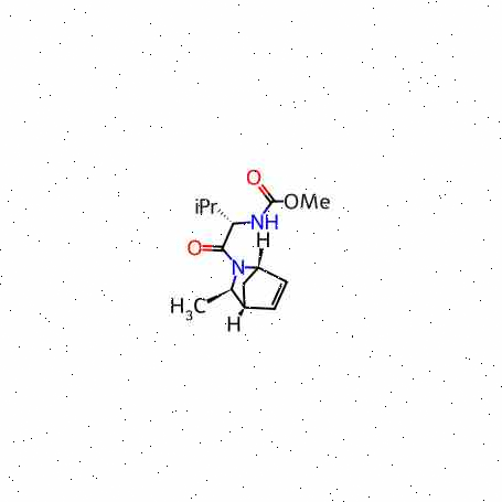 COC(=O)N[C@H](C(=O)N1[C@@H]2C=C[C@@H](C2)[C@H]1C)C(C)C